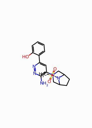 CS(=O)(=O)N1C2CCC1CN(c1cc(-c3ccccc3O)nnc1N)C2